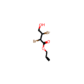 C=CCOC(=O)C(Br)C(Br)CO